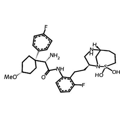 CO[C@H]1CC[C@](c2ccc(F)cc2)([C@H](N)C(=O)Nc2cccc(F)c2CC[C@H]2CN[C@@H]3CCCS(O)(O)N2C3)CC1